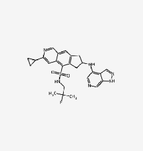 CC(C)(F)CNS(=O)(=O)c1c2c(cc3cnc(C4CC4)cc13)CC(Nc1cncc3[nH]ncc13)C2